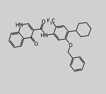 O=C(Nc1cc(OCc2ccccc2)c(C2CCCCC2)cc1C(F)(F)F)c1c[nH]c2ccccc2c1=O